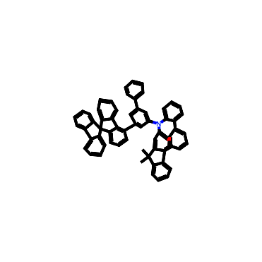 CC1(C)c2ccccc2-c2ccc(N(c3cc(-c4ccccc4)cc(-c4cccc5c4-c4ccccc4C54c5ccccc5-c5ccccc54)c3)c3ccccc3-c3ccccc3)cc21